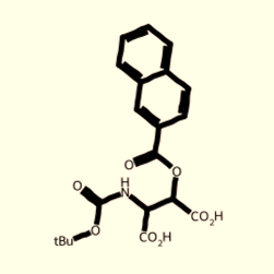 CC(C)(C)OC(=O)NC(C(=O)O)C(OC(=O)c1ccc2ccccc2c1)C(=O)O